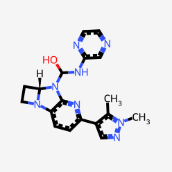 Cc1c(-c2ccc3c(n2)N(C(O)Nc2cnccn2)[C@H]2CCN32)cnn1C